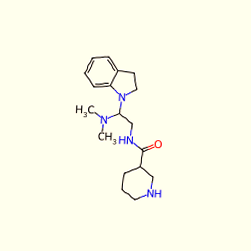 CN(C)C(CNC(=O)C1CCCNC1)N1CCc2ccccc21